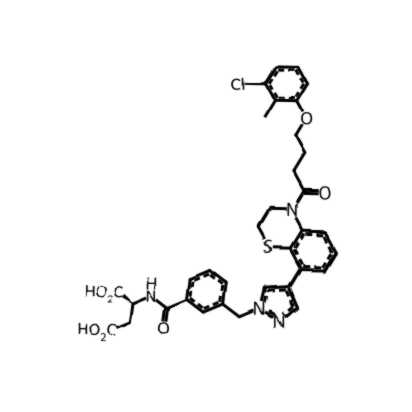 Cc1c(Cl)cccc1OCCCC(=O)N1CCSc2c(-c3cnn(Cc4cccc(C(=O)N[C@@H](CC(=O)O)C(=O)O)c4)c3)cccc21